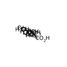 C[C@]12CCC(=O)C=C1CC[C@@H]1[C@@H]2C=C[C@@]2(C)[C@H]1CC[C@]2(O)CCC(=O)O